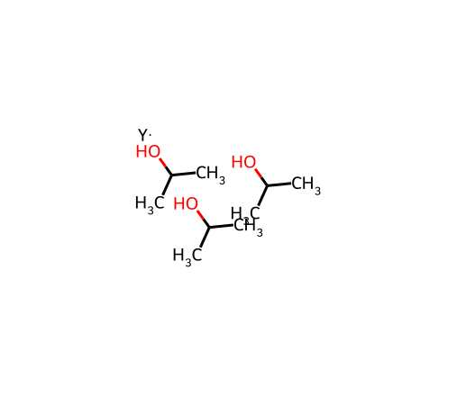 CC(C)O.CC(C)O.CC(C)O.[Y]